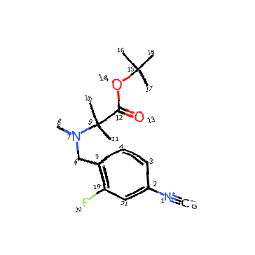 [C-]#[N+]c1ccc(CN(C)C(C)(C)C(=O)OC(C)(C)C)c(F)c1